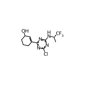 C[C@@H](Nc1nc(Cl)nc(C2=CC(O)CCC2)n1)C(F)(F)F